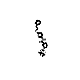 CC1(C)OB(c2cccc(C(=O)Nc3ccc(OCCc4ccccc4)nc3)c2)OC1(C)C